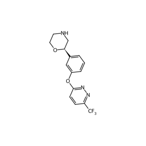 FC(F)(F)c1ccc(Oc2cccc([C@@H]3CNCCO3)c2)nn1